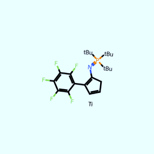 CC(C)(C)P(=NC1=C(c2c(F)c(F)c(F)c(F)c2F)C=CC1)(C(C)(C)C)C(C)(C)C.[Ti]